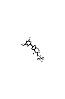 Cc1nc(-c2cc(F)c[n+](O)c2)sc1N(C)C(=O)CCS(C)(=O)=O